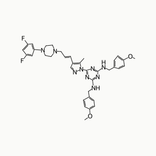 COc1ccc(CNc2nc(NCc3ccc(OC)cc3)nc(-n3ncc(/C=C/CN4CCN(c5cc(F)cc(F)c5)CC4)c3C)n2)cc1